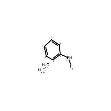 FBc1ccccc1.O.O